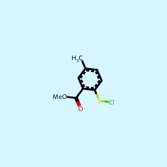 COC(=O)c1cc(C)ccc1SCl